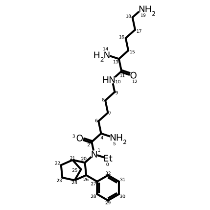 CCN(C(=O)C(N)CCCCNC(=O)C(N)CCCCN)C1C2CCC(C2)C1c1ccccc1